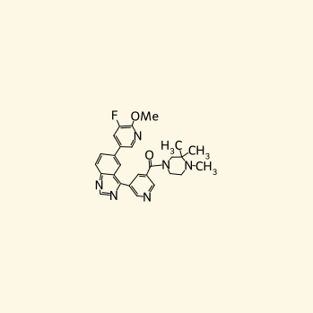 COc1ncc(-c2ccc3ncnc(-c4cncc(C(=O)N5CCN(C)C(C)(C)C5)c4)c3c2)cc1F